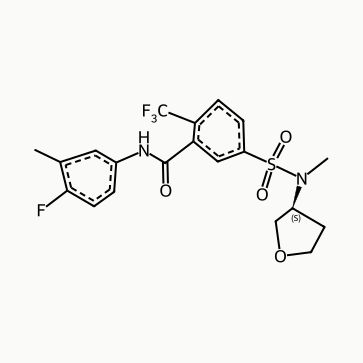 Cc1cc(NC(=O)c2cc(S(=O)(=O)N(C)[C@H]3CCOC3)ccc2C(F)(F)F)ccc1F